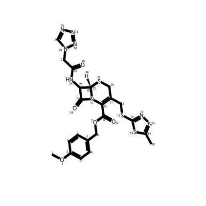 COc1ccc(COC(=O)C2=C(CSc3nnc(C)s3)CS[C@H]3C(NC(=O)Cn4cnnn4)C(=O)N23)cc1